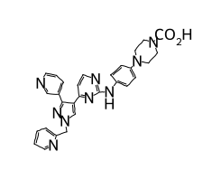 O=C(O)N1CCN(c2ccc(Nc3nccc(-c4cn(Cc5ccccn5)nc4-c4cccnc4)n3)cc2)CC1